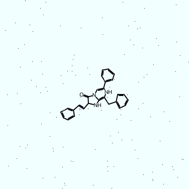 O=C1C(/C=C/c2ccccc2)NC2=C(Cc3ccccc3)NC(c3ccccc3)=CN12